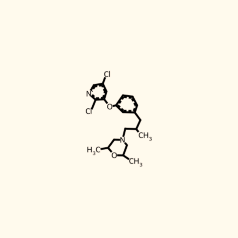 CC(Cc1cccc(Oc2cc(Cl)cnc2Cl)c1)CN1CC(C)OC(C)C1